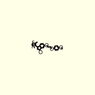 COc1ccc(OCCOc2ccc3c(c2)C(=O)C=C3c2ncsc2C)cc1